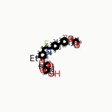 CCC1Cc2cc(F)c(-c3ccc(-c4ccc(OC5CCOC5)cc4)cc3)nc2C=C1O[C@@H]1CO[C@H]2[C@@H]1OC[C@H]2O